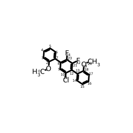 COc1ccccc1-c1cc(Cl)c(-c2ccccc2OC)c(F)c1F